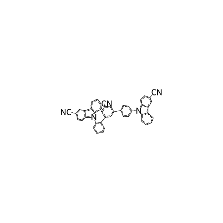 N#Cc1cc(-c2ccc(-n3c4ccccc4c4cc(C#N)ccc43)cc2)cc(-c2ccccc2-n2c3ccccc3c3cc(C#N)ccc32)c1